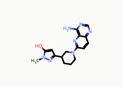 Cn1nc(C2CCCN(c3ccc4ncnc(N)c4n3)C2)cc1O